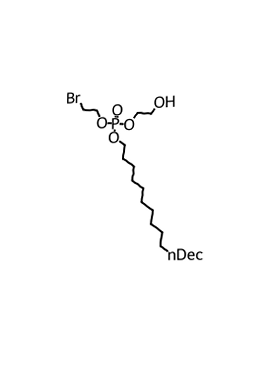 CCCCCCCCCCCCCCCCCCCCOP(=O)(OCCO)OCCBr